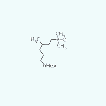 CCCCCCCCCC(C)CCP(C)(C)=O